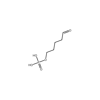 O=CCCCCOP(=O)(O)O